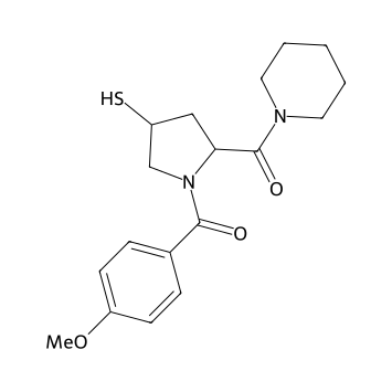 COc1ccc(C(=O)N2CC(S)CC2C(=O)N2CCCCC2)cc1